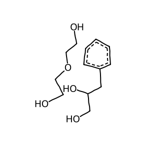 OCC(O)Cc1ccccc1.OCCOCCO